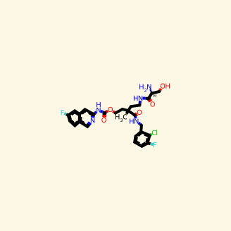 CC(CCNC(=O)[C@@H](N)CO)(CCOC(=O)Nc1cc2cc(F)ccc2cn1)C(=O)NCc1cccc(F)c1Cl